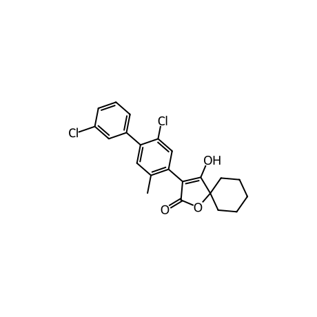 Cc1cc(-c2cccc(Cl)c2)c(Cl)cc1C1=C(O)C2(CCCCC2)OC1=O